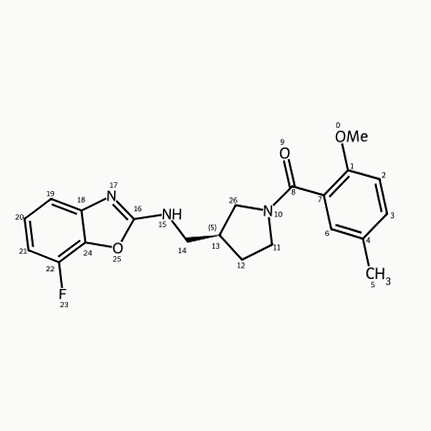 COc1ccc(C)cc1C(=O)N1CC[C@@H](CNc2nc3cccc(F)c3o2)C1